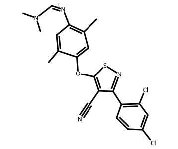 Cc1cc(Oc2snc(-c3ccc(Cl)cc3Cl)c2C#N)c(C)cc1/N=C\N(C)C